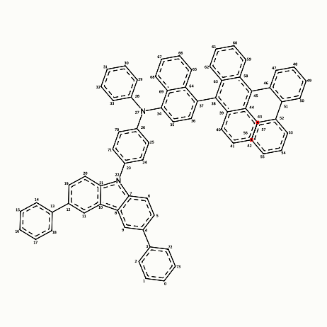 c1ccc(-c2ccc3c(c2)c2cc(-c4ccccc4)ccc2n3-c2ccc(N(c3ccccc3)c3ccc(-c4c5ccccc5c(-c5ccccc5-c5ccccc5)c5ccccc45)c4ccccc34)cc2)cc1